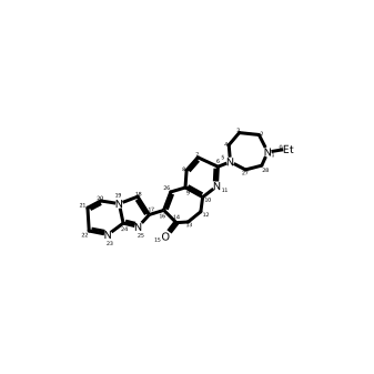 CCN1CCCN(c2ccc3c(n2)CCC(=O)C(c2cn4cccnc4n2)=C3)CC1